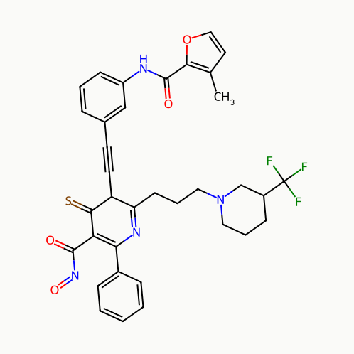 Cc1ccoc1C(=O)Nc1cccc(C#CC2C(=S)C(C(=O)N=O)=C(c3ccccc3)N=C2CCCN2CCCC(C(F)(F)F)C2)c1